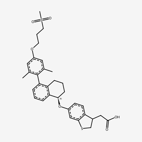 Cc1cc(OCCCS(C)(=O)=O)cc(C)c1-c1cccc2c1CCC[C@H]2Oc1ccc2c(c1)SCC2CC(=O)O